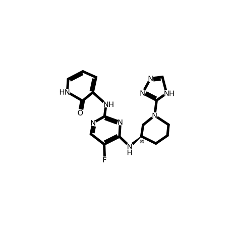 O=c1[nH]cccc1Nc1ncc(F)c(N[C@@H]2CCCN(c3nnc[nH]3)C2)n1